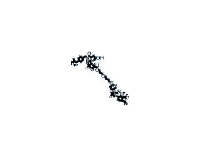 Cc1ncsc1-c1ccc(CNC(=O)[C@@H]2C[C@@H](O)CN2C(=O)[C@@H](NC(=O)COCCCOCCCCOc2ccc(N3C(=S)N(c4ccc(C#N)c(C(F)(F)F)c4F)CC3(C)C)cn2)C(C)(C)C)cc1